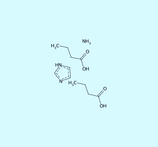 CCCC(=O)O.CCCC(=O)O.N.c1c[nH]cn1